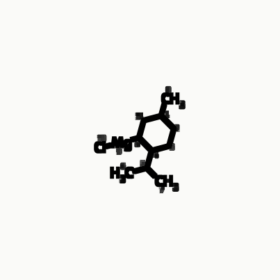 CC1CCC(C(C)C)[CH]([Mg][Cl])C1